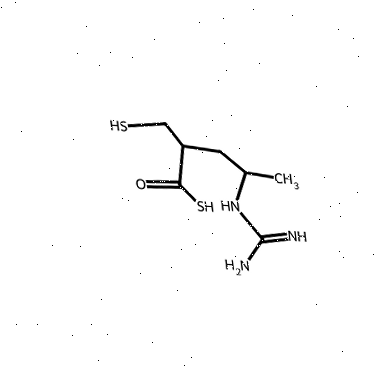 CC(CC(CS)C(=O)S)NC(=N)N